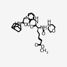 COC(=O)/C=C/CC[C@H](NC(=O)[C@H]1COCCN1)C(=O)Nc1cccn(CC(=O)NC2C3CC4CC(C3)C2C4)c1=O